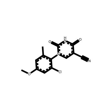 COc1cc(C)c(-n2cc(C#N)c(=O)[nH]c2=O)c(Cl)c1